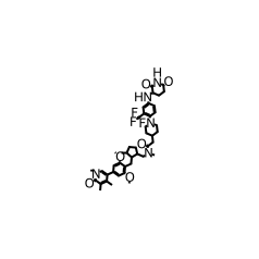 COc1cc(-c2cn(C)c(=O)c(C)c2C)cc(OC)c1CC1C(C)CCC1CN(C)C(=O)CC1CCN(c2ccc(NC3CCC(=O)NC3=O)cc2C(F)(F)F)CC1